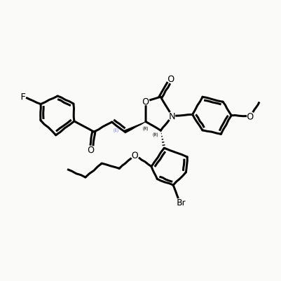 CCCCOc1cc(Br)ccc1[C@@H]1[C@@H](/C=C/C(=O)c2ccc(F)cc2)OC(=O)N1c1ccc(OC)cc1